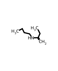 C=C(CC)NCCCC